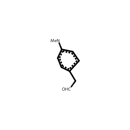 CNc1ccc(CC=O)cc1